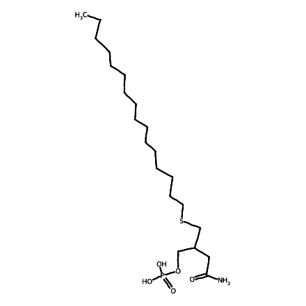 CCCCCCCCCCCCCCCCSCC(COP(=O)(O)O)CC(N)=O